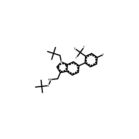 CC(C)(C)Cn1cc(CNSC(C)(C)C)c2ccc(-c3ccc(F)cc3C(F)(F)F)cc21